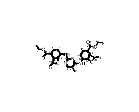 CCOC(=O)c1ccc(Nc2ncc(C)c(Nc3ccc(C(=O)OCC)c4c3OC4C)n2)c2c1C(C)O2